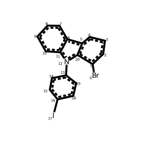 Brc1cccc2c3ccccc3n(-c3ccc(I)cc3)c12